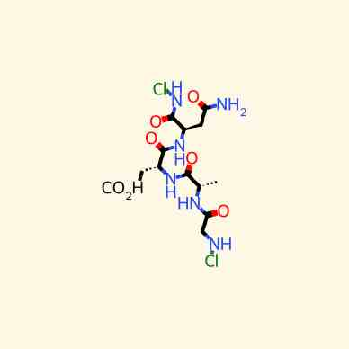 C[C@H](NC(=O)CNCl)C(=O)N[C@H](CC(=O)O)C(=O)N[C@H](CC(N)=O)C(=O)NCl